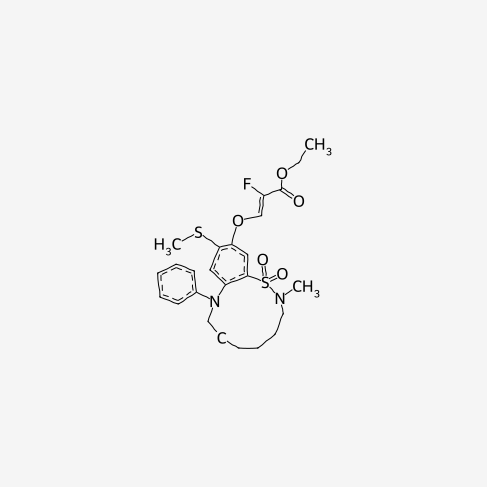 CCOC(=O)/C(F)=C/Oc1cc2c(cc1SC)N(c1ccccc1)CCCCCCN(C)S2(=O)=O